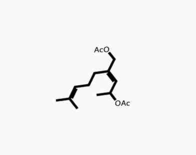 CC(=O)OCC(=CC(C)OC(C)=O)CCC=C(C)C